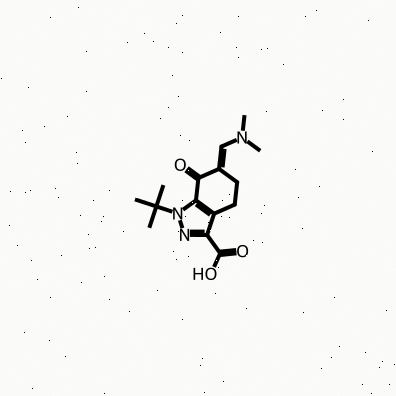 CN(C)/C=C1\CCc2c(C(=O)O)nn(C(C)(C)C)c2C1=O